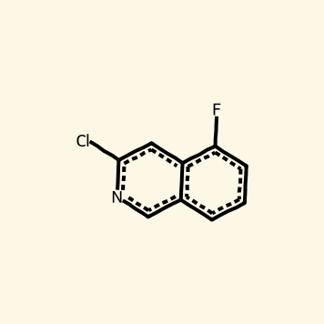 Fc1cccc2cnc(Cl)cc12